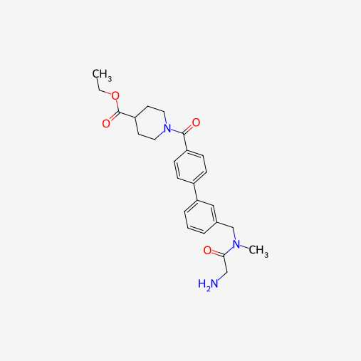 CCOC(=O)C1CCN(C(=O)c2ccc(-c3cccc(CN(C)C(=O)CN)c3)cc2)CC1